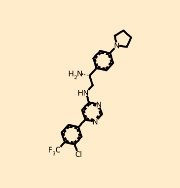 N[C@@H](CNc1cc(-c2ccc(C(F)(F)F)c(Cl)c2)ncn1)c1ccc(N2CCCC2)cc1